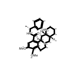 COc1cc(C(=O)N[C@H](C)c2ccccc2)c2c(c1OC)CCN1C[C@H]3CCCN[C@H]3C[C@H]21